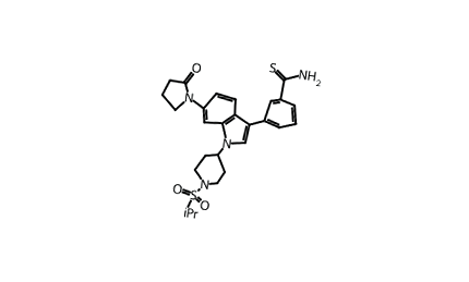 CC(C)S(=O)(=O)N1CCC(n2cc(-c3cccc(C(N)=S)c3)c3ccc(N4CCCC4=O)cc32)CC1